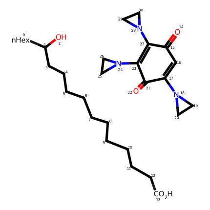 CCCCCCC(O)CCCCCCCCCCC(=O)O.O=C1C=C(N2CC2)C(=O)C(N2CC2)=C1N1CC1